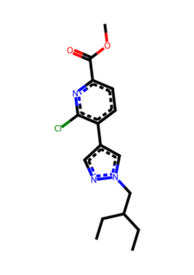 CCC(CC)Cn1cc(-c2ccc(C(=O)OC)nc2Cl)cn1